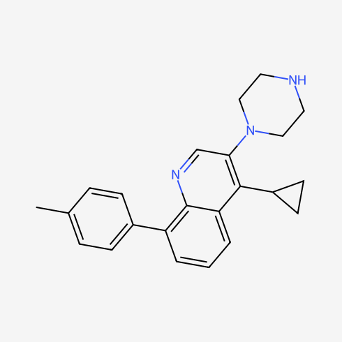 Cc1ccc(-c2cccc3c(C4CC4)c(N4CCNCC4)cnc23)cc1